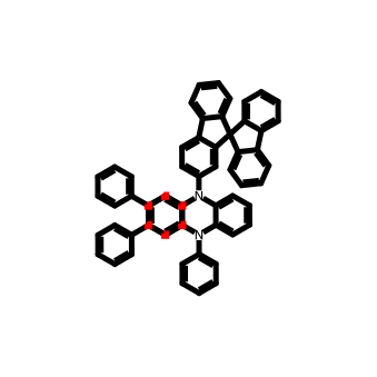 c1ccc(-c2ccc(N(c3ccc4c(c3)C3(c5ccccc5-c5ccccc53)c3ccccc3-4)c3ccccc3N(c3ccccc3)c3ccccc3)cc2-c2ccccc2)cc1